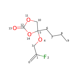 C=C(F)COC1(CCCC)COC(=O)O1